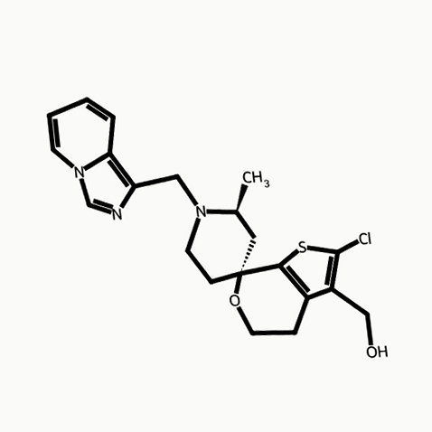 C[C@H]1C[C@@]2(CCN1Cc1ncn3ccccc13)OCCc1c2sc(Cl)c1CO